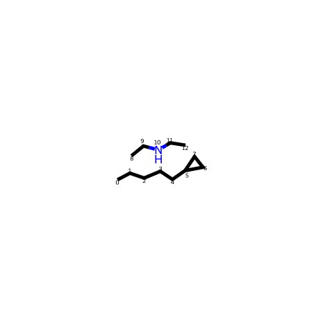 CCCCCC1CC1.CCNCC